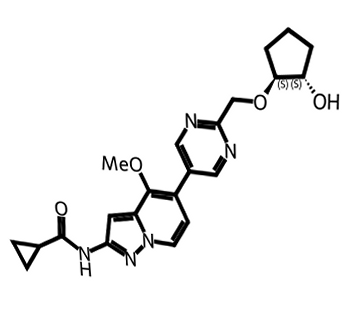 COc1c(-c2cnc(CO[C@H]3CCC[C@@H]3O)nc2)ccn2nc(NC(=O)C3CC3)cc12